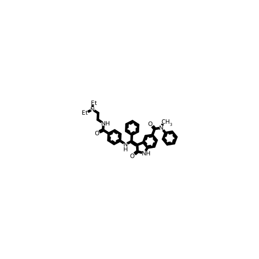 CCN(CC)CCNC(=O)c1ccc(N/C(=C2\C(=O)Nc3ccc(C(=O)N(C)c4ccccc4)cc32)c2ccccc2)cc1